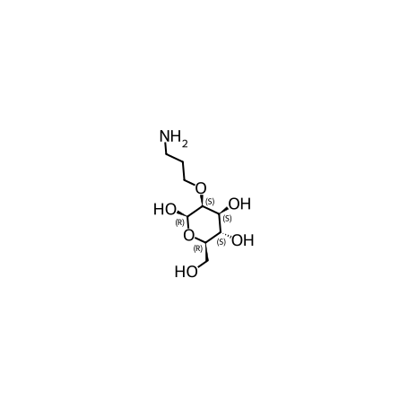 NCCCO[C@H]1[C@@H](O)[C@H](O)[C@@H](CO)O[C@H]1O